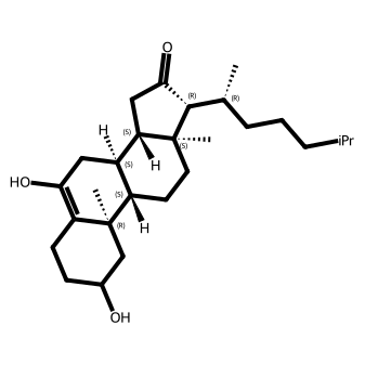 CC(C)CCC[C@@H](C)[C@H]1C(=O)C[C@H]2[C@@H]3CC(O)=C4CCC(O)C[C@]4(C)[C@H]3CC[C@]12C